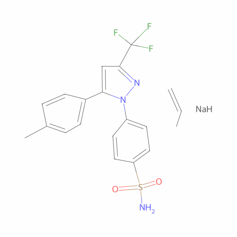 C=CC.Cc1ccc(-c2cc(C(F)(F)F)nn2-c2ccc(S(N)(=O)=O)cc2)cc1.[NaH]